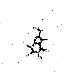 Cc1c(C=N)sc2c1c(=O)n(C(C)C)c(=O)n2C